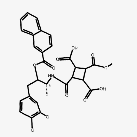 COC(=O)C1C(C(=O)O)C(C(=O)N[C@H](C)C(Cc2ccc(Cl)c(Cl)c2)OC(=O)c2ccc3ccccc3c2)C1C(=O)O